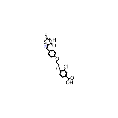 O=C1NC(=S)S/C1=C/c1ccc(OCCOc2ccc(C(=O)O)cc2Cl)cc1